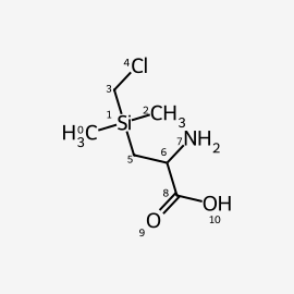 C[Si](C)(CCl)CC(N)C(=O)O